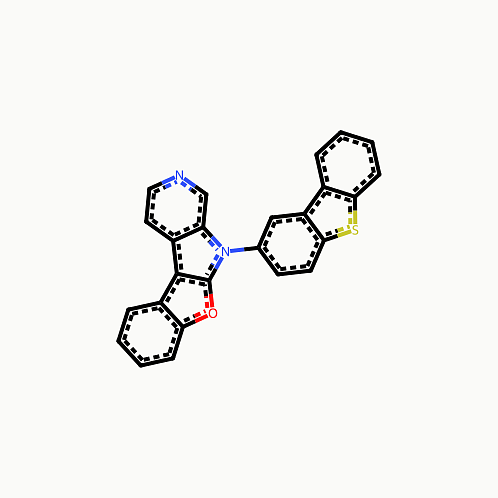 c1ccc2c(c1)oc1c2c2ccncc2n1-c1ccc2sc3ccccc3c2c1